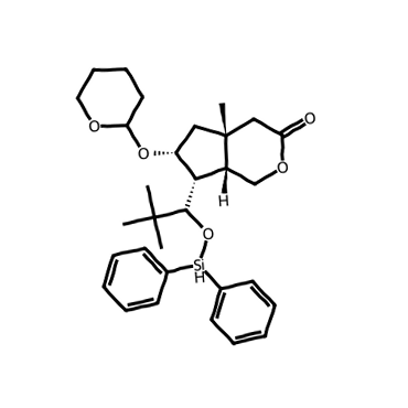 CC(C)(C)C(O[SiH](c1ccccc1)c1ccccc1)[C@H]1[C@H]2COC(=O)C[C@@]2(C)C[C@H]1OC1CCCCO1